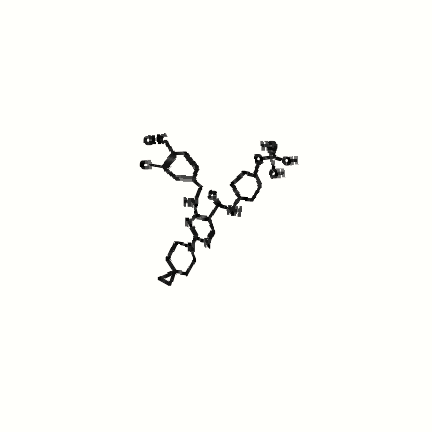 O=Cc1ccc(CNc2nc(N3CCC4(CC3)CC4)ncc2C(=O)NC2CCC(O[PH](O)(O)O)CC2)cc1Cl